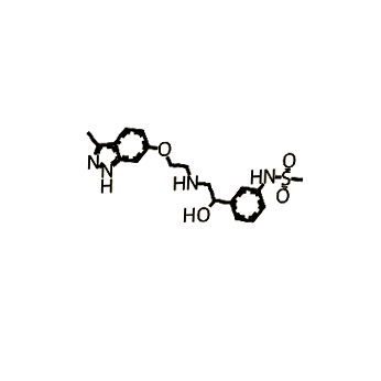 Cc1n[nH]c2cc(OCCNCC(O)c3cccc(NS(C)(=O)=O)c3)ccc12